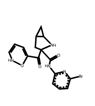 O=C(Nc1cccc(Br)n1)C1(C(=O)C2=CC=CNO2)CC2CC2N1